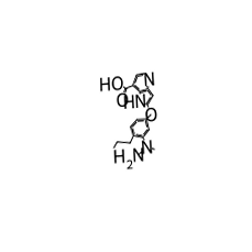 CCCc1ccc(Oc2cc3nccc(C(=O)O)c3[nH]2)cc1N(C)N